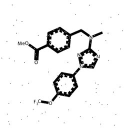 COC(=O)c1ccc(CN(C)c2ncn(-c3ccc(OC(F)(F)F)cc3)n2)cc1